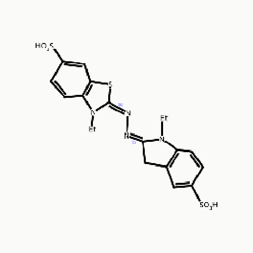 CCN1/C(=N\N=c2\sc3cc(S(=O)(=O)O)ccc3n2CC)Cc2cc(S(=O)(=O)O)ccc21